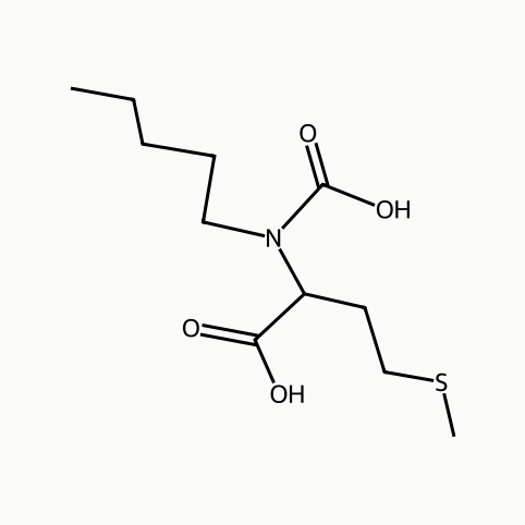 CCCCCN(C(=O)O)C(CCSC)C(=O)O